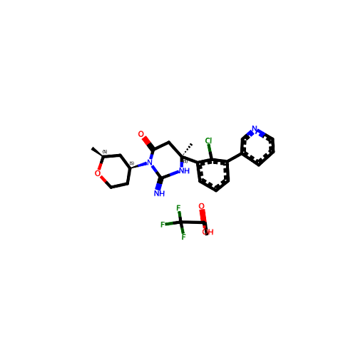 C[C@H]1C[C@@H](N2C(=N)N[C@](C)(c3cccc(-c4cccnc4)c3Cl)CC2=O)CCO1.O=C(O)C(F)(F)F